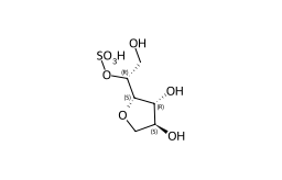 O=S(=O)(O)O[C@H](CO)[C@H]1OC[C@H](O)[C@H]1O